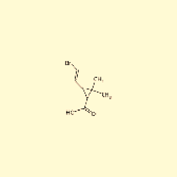 CC1(C)C(/C=C/Br)C1C(=O)O